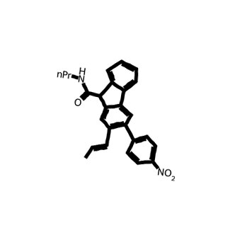 CC=Cc1cc2c(cc1-c1ccc([N+](=O)[O-])cc1)-c1ccccc1C2C(=O)NCCC